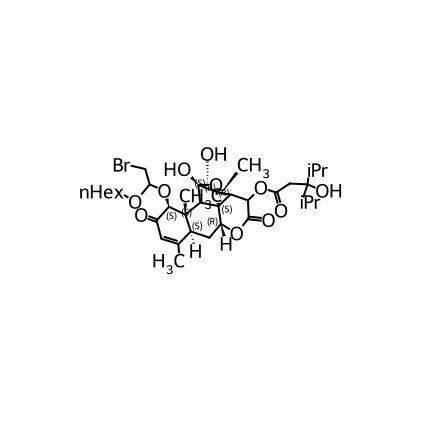 CCCCCCOC(CBr)O[C@@H]1C(=O)C=C(C)[C@@H]2C[C@H]3OC(=O)C(OC(=O)CC(O)(C(C)C)C(C)C)C4[C@@H](C)[C@@H](O)[C@@]5(O)OC[C@@]43C5[C@@]12C